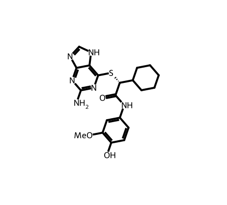 COc1cc(NC(=O)[C@H](Sc2nc(N)nc3nc[nH]c23)C2CCCCC2)ccc1O